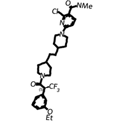 CCOc1cccc([C@@H](C(=O)N2CCC(CCC3CCN(c4ccc(C(=O)NC)c(Cl)n4)CC3)CC2)C(F)(F)F)c1